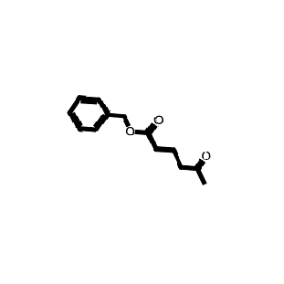 CC(=O)CCCC(=O)OCc1ccccc1